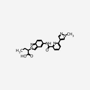 CCC(C(=O)O)n1cc2cc(NC(=O)c3cccc(-c4cnn(C)c4)n3)ccc2n1